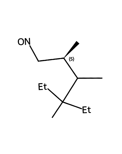 CCC(C)(CC)C(C)[C@H](C)CN=O